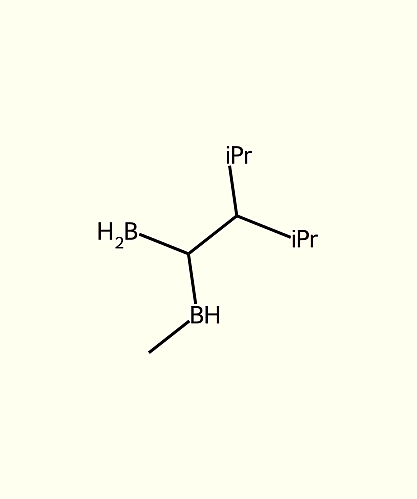 BC(BC)C(C(C)C)C(C)C